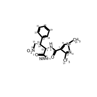 CNC(=O)[C@@H](NC(=O)c1cn(C)nc1C(F)(F)F)[C@H](C[N+](=O)[O-])c1ccccc1